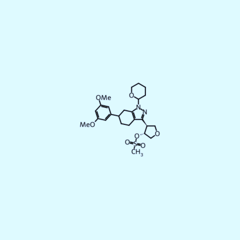 COc1cc(OC)cc(C2CCc3c([C@H]4COC[C@@H]4OS(C)(=O)=O)nn(C4CCCCO4)c3C2)c1